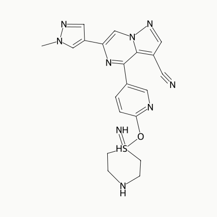 Cn1cc(-c2cn3ncc(C#N)c3c(-c3ccc(O[SH]4(=N)CCNCC4)nc3)n2)cn1